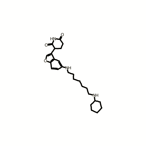 O=C1CCC(c2coc3ccc(NCCCCCCCNC4CCCCC4)cc23)C(=O)N1